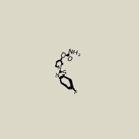 NC(=O)OC1CCN(c2nc3ccc(F)cc3s2)C1